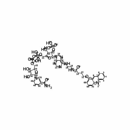 C[n+]1c2ccccc2cc2c(OCCCC(=O)NCCNc3ncnc4c3ncn4C3OC(COP(=O)(O)OP(=O)(O)OCC4OC([n+]5cccc(C(N)=O)c5)C(O)C4O)C(O)C3OP(=O)(O)O)cccc21